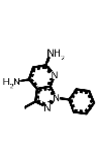 Cc1nn(-c2ccccc2)c2nc(N)cc(N)c12